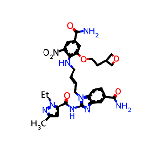 CCn1nc(C)cc1C(=O)Nc1nc2cc(C(N)=O)ccc2n1CC=CCNc1c(OCCC2COC2)cc(C(N)=O)cc1[N+](=O)[O-]